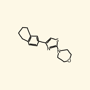 c1cc2c(cc1-c1csc(N3CCOCC3)n1)CCCC2